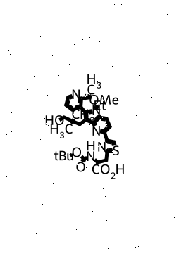 CCn1c(-c2cccnc2[C@H](C)OC)c(CC(C)(C)CO)c2nc(-c3csc(CC(NC(=O)OC(C)(C)C)C(=O)O)n3)ccc21